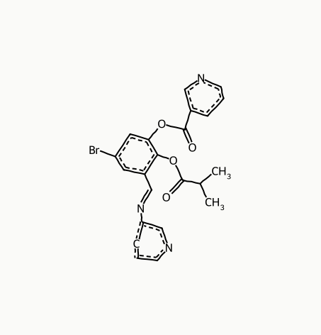 CC(C)C(=O)Oc1c(C=Nc2cccnc2)cc(Br)cc1OC(=O)c1cccnc1